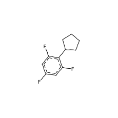 Fc1cc(F)c(C2CCCC2)c(F)c1